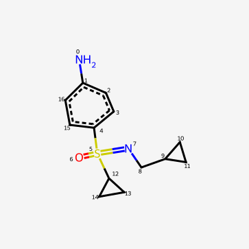 Nc1ccc(S(=O)(=NCC2CC2)C2CC2)cc1